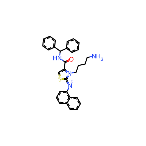 NCCCCn1c(C(=O)NC(c2ccccc2)c2ccccc2)cs/c1=N\c1cccc2ccccc12